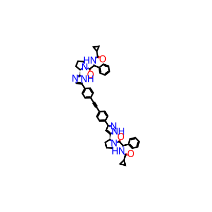 O=C(N[C@@H](C(=O)N1CCC[C@H]1c1cc(-c2ccc(C#Cc3ccc(-c4cnc([C@@H]5CCCN5C(=O)[C@H](NC(=O)C5CC5)c5ccccc5)[nH]4)cc3)cc2)n[nH]1)c1ccccc1)C1CC1